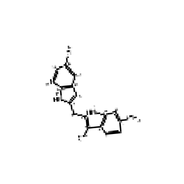 Cc1ccc2c(Cl)c(Cc3cc4cc(Cl)cnc4[nH]3)[nH]c2c1